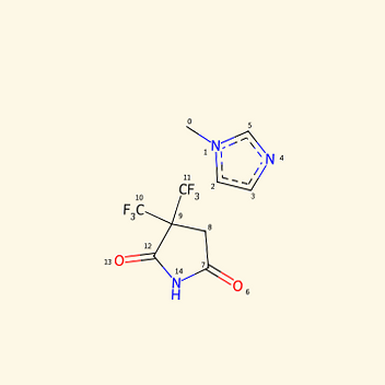 Cn1ccnc1.O=C1CC(C(F)(F)F)(C(F)(F)F)C(=O)N1